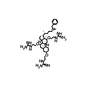 C[C@H](CCCN(C)Cc1ccccc1)[C@H]1CC[C@H]2C3[C@H](OCCNC(=N)N)CC4C[C@H](OCCNC(=N)N)CC[C@]4(C)[C@H]3C[C@H](OCCNC(=N)N)[C@]12C